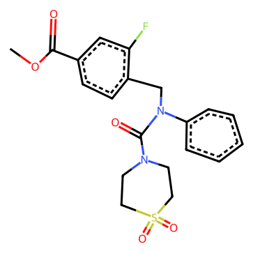 COC(=O)c1ccc(CN(C(=O)N2CCS(=O)(=O)CC2)c2ccccc2)c(F)c1